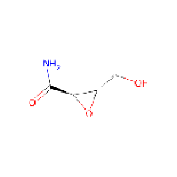 NC(=O)[C@@H]1O[C@H]1CO